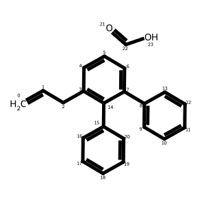 C=CCc1cccc(-c2ccccc2)c1-c1ccccc1.O=CO